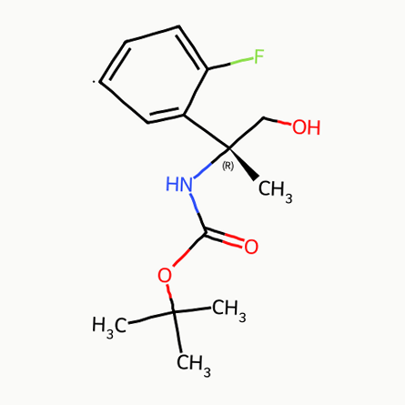 CC(C)(C)OC(=O)N[C@@](C)(CO)c1c[c]ccc1F